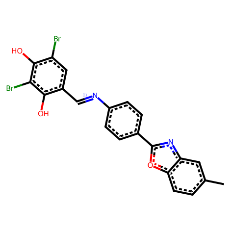 Cc1ccc2oc(-c3ccc(/N=C/c4cc(Br)c(O)c(Br)c4O)cc3)nc2c1